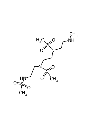 CNCCN(CCN(CCNS(C)(=O)=O)S(C)(=O)=O)S(C)(=O)=O